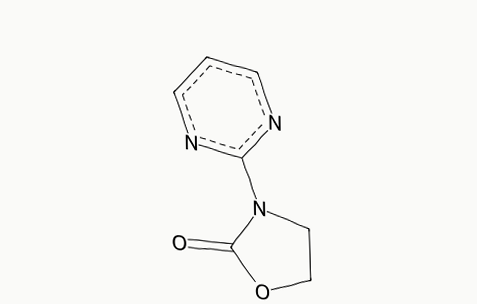 O=C1OCCN1c1ncccn1